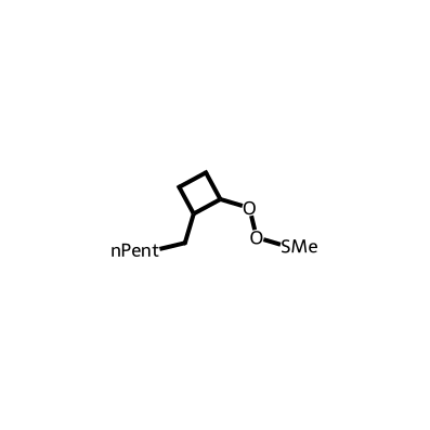 CCCCCCC1CCC1OOSC